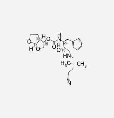 CC(C)(CCC#N)CNC[C@H](O)[C@H](Cc1ccccc1)NC(=O)O[C@H]1CO[C@H]2OCC[C@H]21